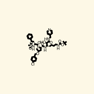 CC(C)(C)OC(=O)NCCCC[C@H](NC(=O)[C@@H]1C[C@@H](OCc2ccc(Cl)cc2)CN1C(=O)[C@@H](CCc1ccccc1)NS(C)(=O)=O)C(O)C(=O)NCc1ccncc1